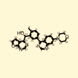 Cc1ccc(-c2ncnc3cc(N4CCOCC4)ccc23)cc1C(O)c1ncnc2occc12